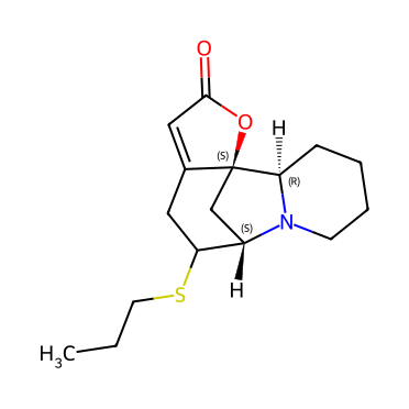 CCCSC1CC2=CC(=O)O[C@@]23C[C@@H]1N1CCCC[C@@H]13